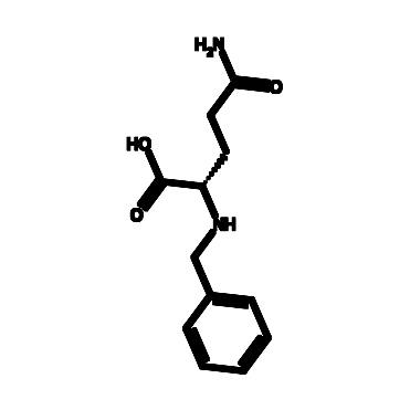 NC(=O)CC[C@H](NCc1ccccc1)C(=O)O